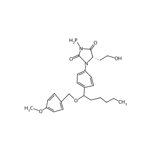 CCCCCC(OCc1ccc(OC)cc1)c1ccc(N2C(=O)N(P)C(=O)[C@@H]2CCO)cc1